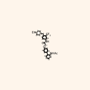 CCN1CCN(Cc2ccc(NC(=O)COc3ccc(-c4cncnc4NC(C)=O)cc3)cc2C(F)(F)F)CC1